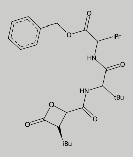 CC[C@H](C)C1C(=O)OC1C(=O)NC(C(=O)NC(C(=O)OCc1ccccc1)C(C)C)C(C)(C)C